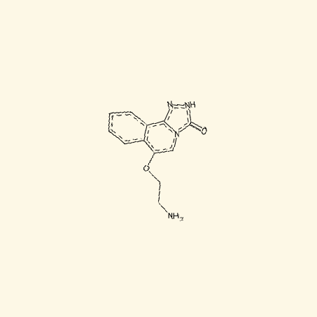 NCCOc1cn2c(=O)[nH]nc2c2ccccc12